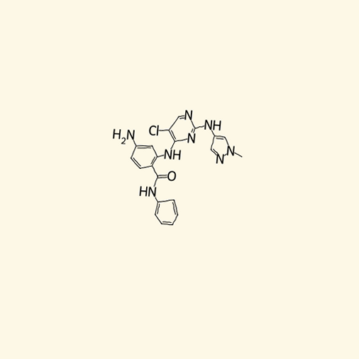 Cn1cc(Nc2ncc(Cl)c(Nc3cc(N)ccc3C(=O)Nc3ccccc3)n2)cn1